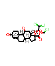 C[C@]12CCC(=O)C=C1CC[C@@H]1[C@H]2C(=O)C[C@@]2(C)[C@H]1CCC2(OC(=O)C(Cl)Cl)C(=O)OCCl